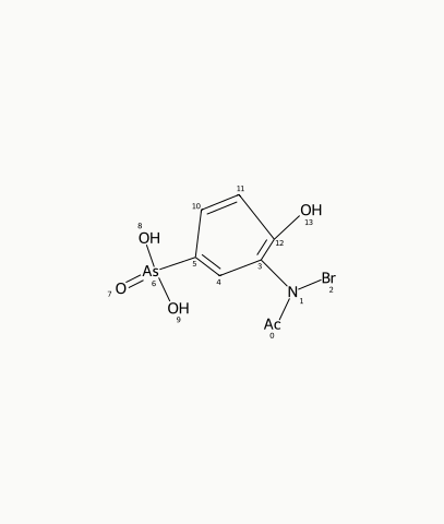 CC(=O)N(Br)c1cc([As](=O)(O)O)ccc1O